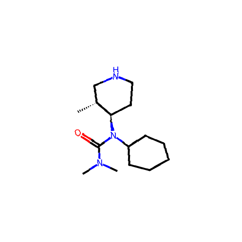 C[C@@H]1CNCC[C@H]1N(C(=O)N(C)C)C1CCCCC1